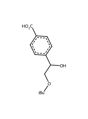 CCC(C)OCC(O)c1ccc(C(=O)O)cc1